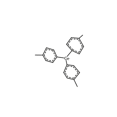 Cc1cc[c]([Ge]([c]2ccc(C)cc2)[c]2ccc(C)cc2)cc1